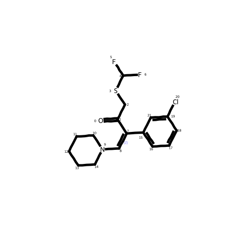 O=C(CSC(F)F)/C(=C\N1CCCCC1)c1cccc(Cl)c1